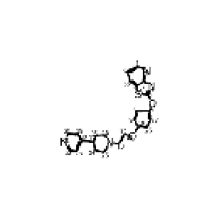 c1cnc2nc(Oc3ccc(OCCN4CCC(c5ccncc5)CC4)cc3)sc2c1